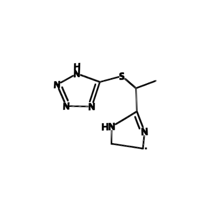 CC(Sc1nnn[nH]1)C1=N[CH]CN1